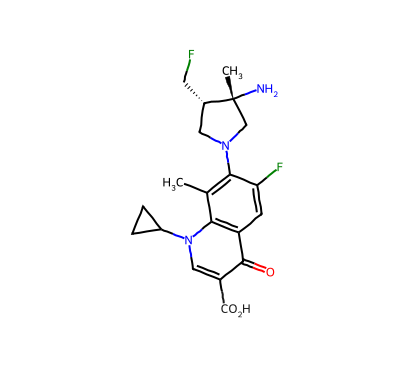 Cc1c(N2C[C@H](CF)[C@](C)(N)C2)c(F)cc2c(=O)c(C(=O)O)cn(C3CC3)c12